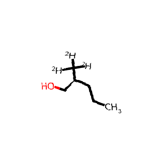 [2H]C([2H])([2H])[C@H](CO)CCC